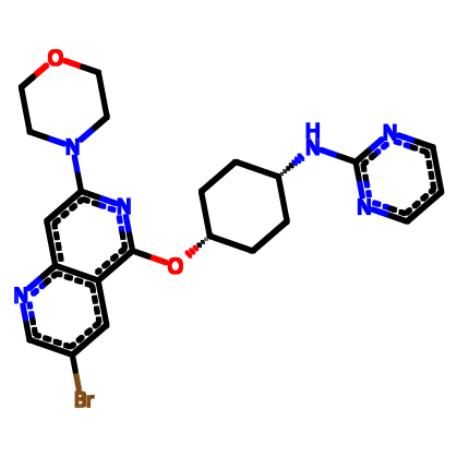 Brc1cnc2cc(N3CCOCC3)nc(O[C@H]3CC[C@@H](Nc4ncccn4)CC3)c2c1